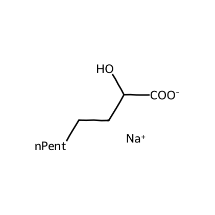 CCCCCCCC(O)C(=O)[O-].[Na+]